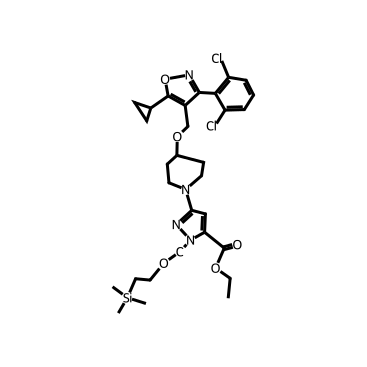 CCOC(=O)c1cc(N2CCC(OCc3c(-c4c(Cl)cccc4Cl)noc3C3CC3)CC2)nn1COCC[Si](C)(C)C